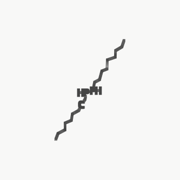 CCCCCCCCCPPCCCCCCCCC